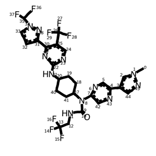 Cn1cc(-c2cnc(N(C(=O)NCC(F)(F)F)C3CCC(Nc4ncc(C(F)(F)F)c(-c5ccn(C(F)F)n5)n4)CC3)cn2)cn1